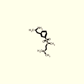 C[C@H](N)Cc1cccc(S(=O)(=O)N(C)CCN(C)C)c1